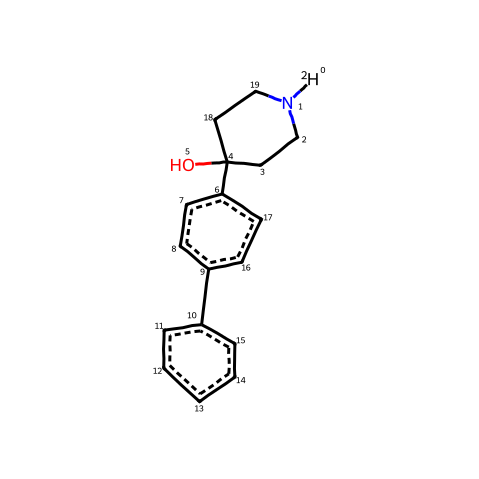 [2H]N1CCC(O)(c2ccc(-c3ccccc3)cc2)CC1